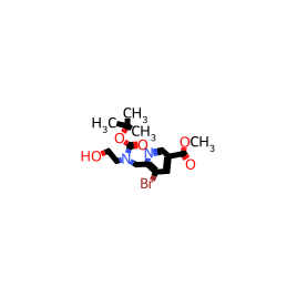 COC(=O)c1cnc(CN(CCO)C(=O)OC(C)(C)C)c(Br)c1